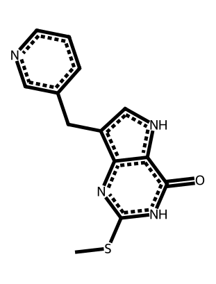 CSc1nc2c(Cc3cccnc3)c[nH]c2c(=O)[nH]1